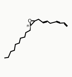 C=CC=CCC=CCC1O[C@@H]1CCCCCCCCCC